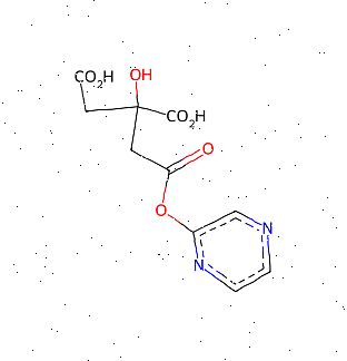 O=C(O)CC(O)(CC(=O)Oc1cnccn1)C(=O)O